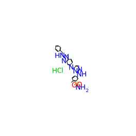 Cc1ccc(Nc2nccc(N(C)c3ccc4c(c3)nc(NCc3ccccc3)n4C)n2)cc1S(N)(=O)=O.Cl